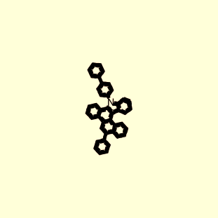 c1ccc2c3c4c5ccccc5c(-c5ccccc5)cc4c4ccccc4c3n(-c3ccc(-c4ccccc4)cc3)c2c#1